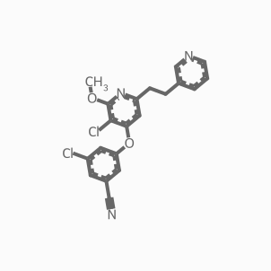 COc1nc(CCc2cccnc2)cc(Oc2cc(Cl)cc(C#N)c2)c1Cl